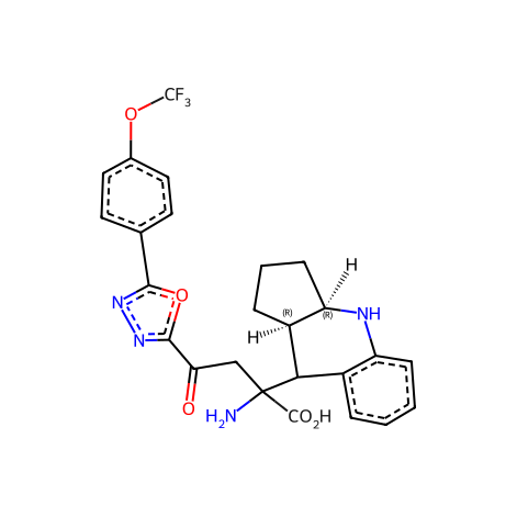 NC(CC(=O)c1nnc(-c2ccc(OC(F)(F)F)cc2)o1)(C(=O)O)C1c2ccccc2N[C@@H]2CCC[C@H]12